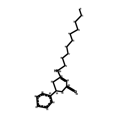 CCCCCCCCCCNC1=CC(=O)CC(c2ccccc2)C1